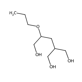 CCCOC(CO)CC(CO)CO